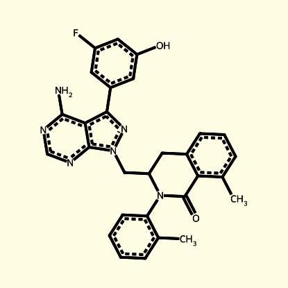 Cc1ccccc1N1C(=O)c2c(C)cccc2CC1Cn1nc(-c2cc(O)cc(F)c2)c2c(N)ncnc21